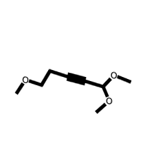 COCCC#CC(OC)OC